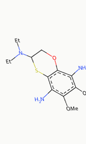 CCN(CC)C1COc2c(N)c(OC)c(OC)c(N)c2S1